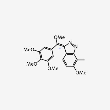 CO/C(=C1\N=Nc2c1ccc(OC)c2C)c1cc(OC)c(OC)c(OC)c1